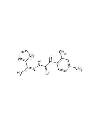 CC(=NNC(=O)Nc1ccc(C)cc1C)c1ncc[nH]1